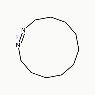 C1CCCCC/N=N\CCCC1